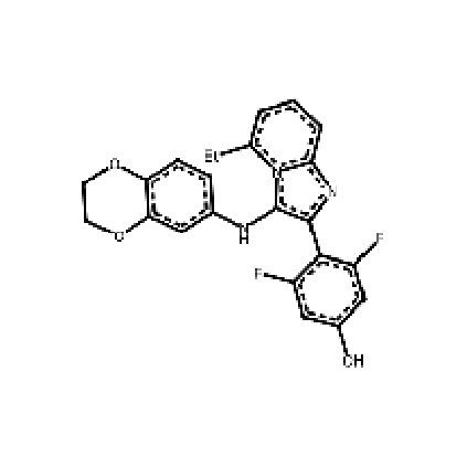 CCc1cccc2nc(-c3c(F)cc(O)cc3F)c(Nc3ccc4c(c3)OCCO4)n12